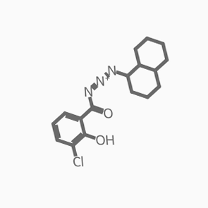 O=C(N=[N+]=NC1CCCC2CCCCC21)c1cccc(Cl)c1O